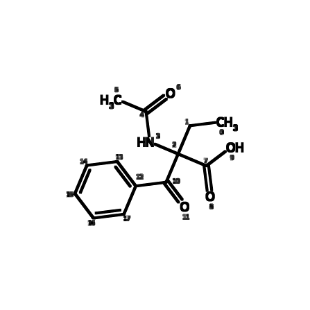 CCC(NC(C)=O)(C(=O)O)C(=O)c1ccccc1